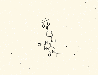 CC(C)N1Cc2c(Nc3ccc(B4OC(C)(C)C(C)(C)O4)cc3)nc(Cl)nc2C1=O